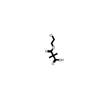 CC(C)(C(=O)O)C(=O)OCCCl